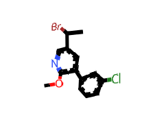 COc1ncc(C(C)Br)cc1-c1cccc(Cl)c1